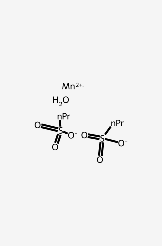 CCCS(=O)(=O)[O-].CCCS(=O)(=O)[O-].O.[Mn+2]